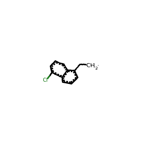 [CH2]Cc1cccc2c(Cl)cccc12